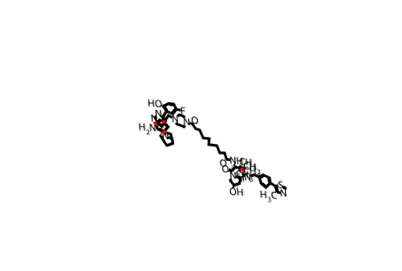 COC(NCc1ccc(-c2scnc2C)cc1)[C@@H]1C[C@@H](O)CN1C(=O)[C@@H](NC(=O)CCCCCCCCC(=O)N1CCN(Cc2cccc(N3C4CCC3CN(c3cc(-c5cc(F)ccc5O)nnc3N)C4)c2)CC1)C(C)(C)C